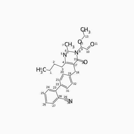 CCCCc1nc(C)n(C(C=O)OCC)c(=O)c1Cc1ccc(-c2ccccc2C#N)cc1